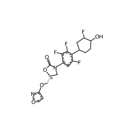 O=C1O[C@@H](COc2ccon2)CN1c1cc(F)c(C2CCC(O)C(F)C2)c(F)c1F